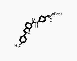 CCCCC[PH](=O)Cc1ccc(NC(=O)c2ccc3cc(-c4ccc(C)cc4)oc3c2)cc1